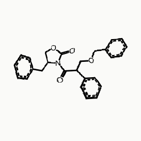 O=C1OCC(Cc2ccccc2)N1C(=O)C(COCc1ccccc1)c1ccccc1